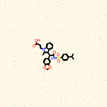 Cc1c(C(C(=O)NS(=O)(=O)c2ccc(C(C)C)cc2)c2ccc3c(c2)OCO3)c2ccccc2n1C=CC(=O)O